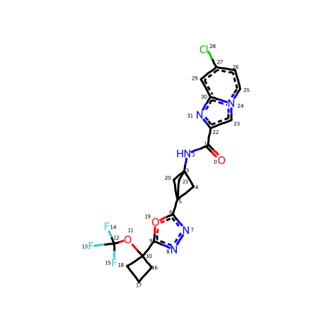 O=C(NC12CC(c3nnc(C4(OC(F)(F)F)CCC4)o3)(C1)C2)c1cn2ccc(Cl)cc2n1